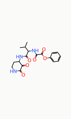 CC(C)C(NC(=O)C(=O)Oc1ccccc1)C(=O)NC1CCNC(=O)C1=O